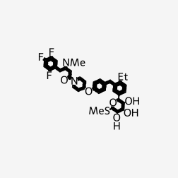 CCc1ccc([C@@H]2O[C@H](SC)[C@@H](O)[C@H](O)[C@H]2O)cc1Cc1ccc(OC2CCN(C(=O)CC(Cc3cc(F)c(F)cc3F)NC)CC2)cc1